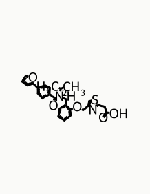 [2H]C(c1ccccc1OCc1csc(CC(=O)O)n1)N(C(=O)c1ccc(-c2ccco2)cc1)C(C)C